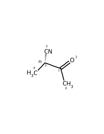 CC(=O)[C@H](C)C#N